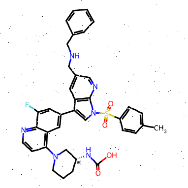 Cc1ccc(S(=O)(=O)n2cc(-c3cc(F)c4nccc(N5CCC[C@@H](NC(=O)O)C5)c4c3)c3cc(CNCc4ccccc4)cnc32)cc1